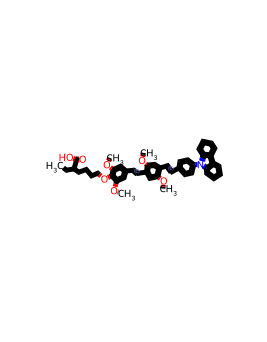 CCC(CCCCOc1c(OC)cc(/C=C/c2cc(OC)c(/C=C/c3ccc(-n4c5ccccc5c5ccccc54)cc3)cc2OC)cc1OC)C(=O)O